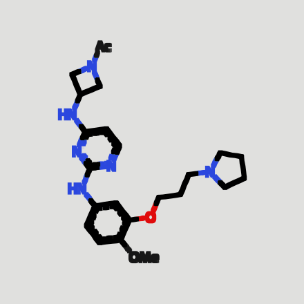 COc1ccc(Nc2nccc(NC3CN(C(C)=O)C3)n2)cc1OCCCN1CCCC1